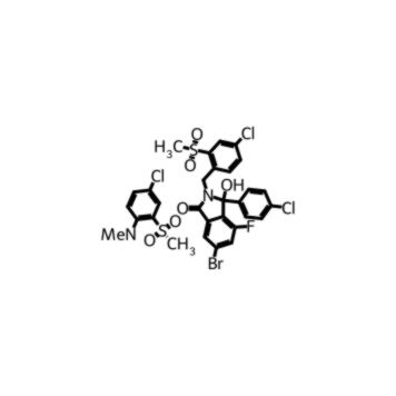 CNc1ccc(Cl)cc1S(C)(=O)=O.CS(=O)(=O)c1cc(Cl)ccc1CN1C(=O)c2cc(Br)cc(F)c2C1(O)c1ccc(Cl)cc1